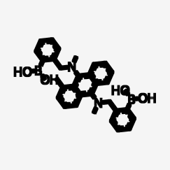 Cc1cccc2c(N(C)Cc3ccccc3B(O)O)c3ccccc3c(N(C)Cc3ccccc3B(O)O)c12